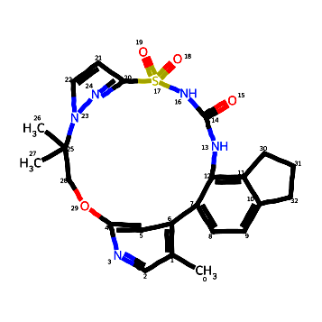 Cc1cnc2cc1-c1ccc3c(c1NC(=O)NS(=O)(=O)c1ccn(n1)C(C)(C)CO2)CCC3